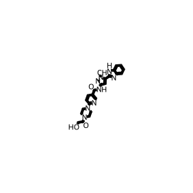 Cn1nc(NC(=O)c2ccc(N3CCN(C(=O)CO)CC3)nc2)cc1-c1nc2ccccc2[nH]1